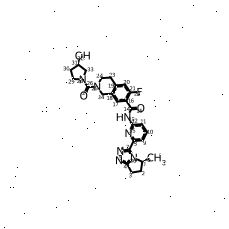 C[C@H]1CCc2nnc(-c3cccc(NC(=O)c4cc5c(cc4F)CCN(C(=O)N4CC[C@@H](O)C4)C5)n3)n21